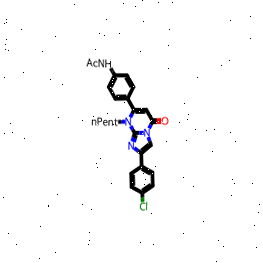 CCCCCn1c(-c2ccc(NC(C)=O)cc2)cc(=O)n2cc(-c3ccc(Cl)cc3)nc12